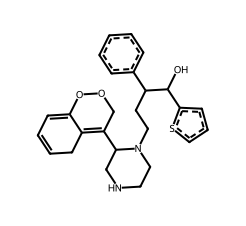 OC(c1cccs1)C(CCN1CCNCC1C1=C2CC=CC=C2OOC1)c1ccccc1